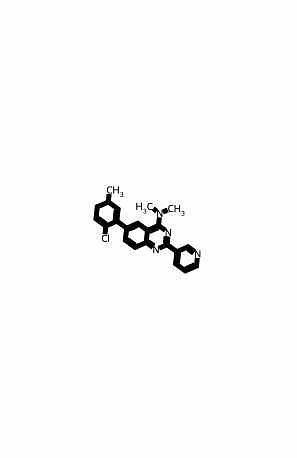 CC1C=C(c2ccc3nc(-c4cccnc4)nc(N(C)C)c3c2)C(Cl)=CC1